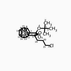 CC(C)(C)OC(=O)[C]12[CH]3[CH]4[CH]5[CH]1[Fe]45321678[CH]2[CH]1[CH]6[C]7(C(=O)CCCCl)[CH]28